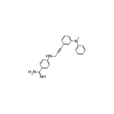 CN(c1ccccc1)c1cccc(C#CCNc2ccc(C(=N)N)cc2)c1